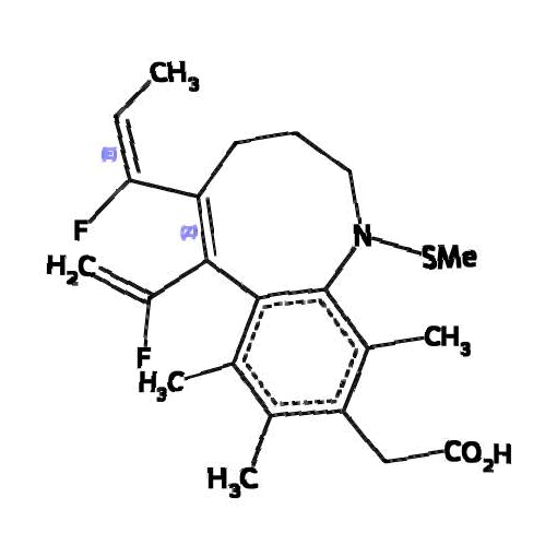 C=C(F)/C1=C(\C(F)=C/C)CCCN(SC)c2c(C)c(CC(=O)O)c(C)c(C)c21